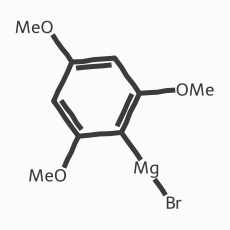 COc1cc(OC)[c]([Mg][Br])c(OC)c1